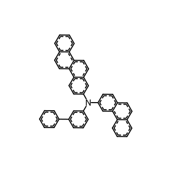 c1ccc(-c2cccc(N(c3ccc4c(ccc5c6ccccc6ccc45)c3)c3ccc4ccc5ccccc5c4c3)c2)cc1